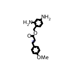 COc1ccc(/C=C/C(=O)OCc2ccc(N)cc2N)cc1